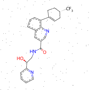 O=C(NC[C@H](O)c1ccccn1)c1cnc2c(C3=CC[C@@H](C(F)(F)F)CC3)cccc2c1